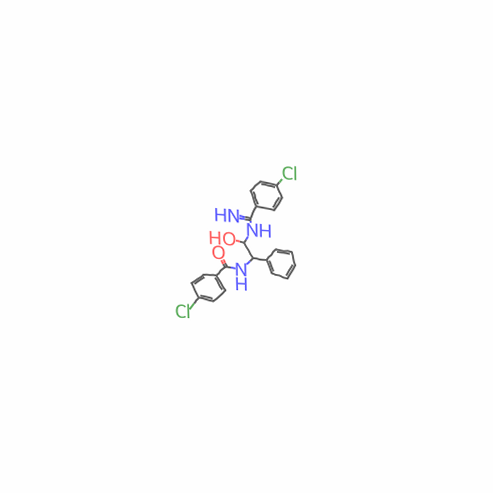 N=C(NC(O)C(NC(=O)c1ccc(Cl)cc1)c1ccccc1)c1ccc(Cl)cc1